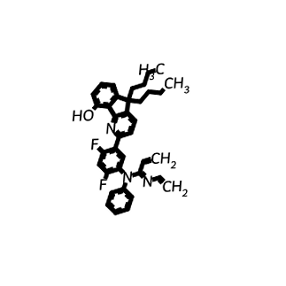 C=C/N=C(\C=C)N(c1ccccc1)c1cc(-c2ccc3c(n2)-c2c(O)cccc2C3(CCCC)CCCC)c(F)cc1F